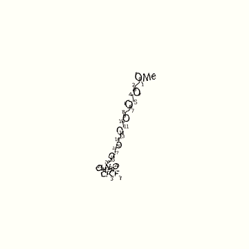 COCCOCCOCCOCCOCCOCCOCCN(C(=O)C(F)(F)F)C(=O)C(F)(F)F